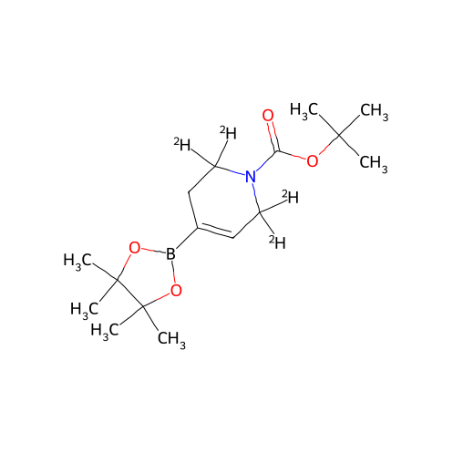 [2H]C1([2H])C=C(B2OC(C)(C)C(C)(C)O2)CC([2H])([2H])N1C(=O)OC(C)(C)C